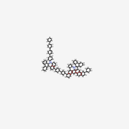 c1ccc(-c2ccc(-c3ccc(-c4ccc(N(c5ccccc5)c5c(-c6ccc(-c7ccc(-c8ccc(-c9cccc(-c%10cc(-c%11ccccc%11)cc(N(c%11ccccc%11-c%11ccccc%11)c%11c(-c%12cccc(-c%13cccc(-c%14ccccc%14)c%13)c%12)c%12ccccc%12c%12ccccc%11%12)c%10)c9)cc8)cc7)cc6)c6ccccc6c6ccccc56)cc4)cc3)cc2)cc1